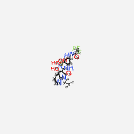 CC(C)CCn1c(=O)c(C2=NS(O)(O)c3cc(NC(=O)C(F)(F)F)ccc3N2)c(O)c2cccnc21